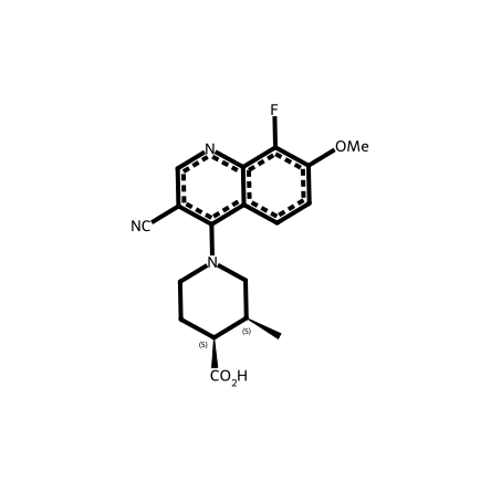 COc1ccc2c(N3CC[C@H](C(=O)O)[C@H](C)C3)c(C#N)cnc2c1F